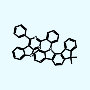 CC1(C)c2ccccc2-c2c1ccc1c3ccccc3n(-c3ccccc3-c3nc(-c4ccccc4)c4c(n3)oc3ccccc34)c21